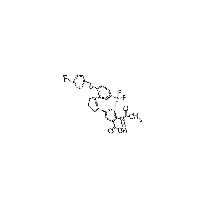 CC(=O)Nc1ccc(C2=C(c3cc(C(F)(F)F)ccc3OCc3ccc(F)cc3)CCC2)cc1C(=O)O